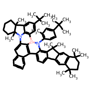 Cc1cc(C(C)(C)C)ccc1N1B2c3cc(C(C)(C)C)cc4c3N(c3cc5ccccc5c(c32)-c2ccc3c(c21)C(C)(C)c1cc2c(cc1-3)C(C)(C)CCC2(C)C)C1(C)CCCCC41C